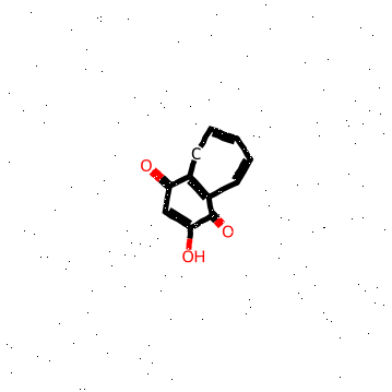 O=C1C=C(O)C(=O)C2=C1CC=CC=C2